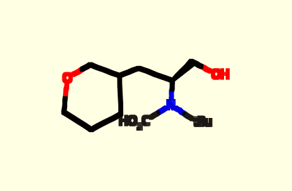 CC(C)(C)N(C(=O)O)[C@H](CO)CC1CCCOC1